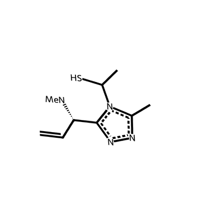 C=C[C@H](NC)c1nnc(C)n1C(C)S